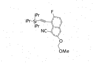 COCOc1cc(C#N)c2c(C#C[Si](C(C)C)(C(C)C)C(C)C)c(F)ccc2c1